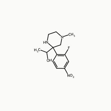 CC(O)C1(c2ccc([N+](=O)[O-])cc2F)CN(C)CCN1